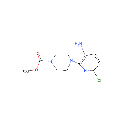 CC(C)(C)OC(=O)N1CCN(c2nc(Cl)ccc2N)CC1